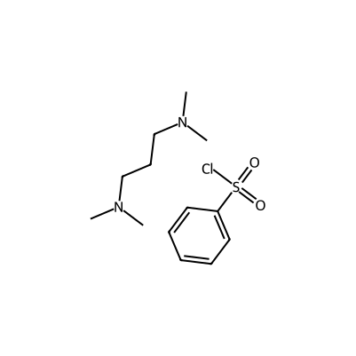 CN(C)CCCN(C)C.O=S(=O)(Cl)c1ccccc1